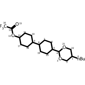 CCCCC1COC(C2CCC(C3CCC(OC(=O)C(F)(F)F)CC3)CC2)OC1